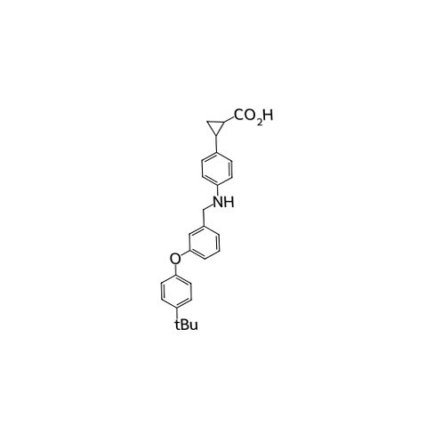 CC(C)(C)c1ccc(Oc2cccc(CNc3ccc(C4CC4C(=O)O)cc3)c2)cc1